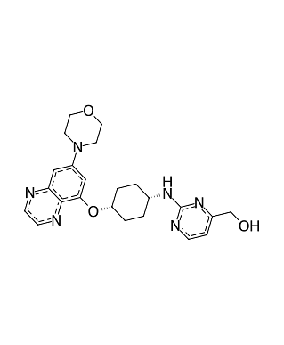 OCc1ccnc(N[C@H]2CC[C@@H](Oc3cc(N4CCOCC4)cc4nccnc34)CC2)n1